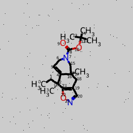 CC[C@@]1(C)C2=CCN(C(=O)OC(C)(C)C)C[C@]2(C)Cc2cnoc21